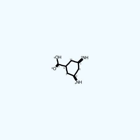 N=C1CC(=N)CC(C(=O)O)C1